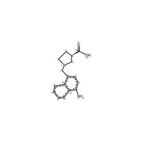 Nc1ccc(CN2CC[C@@H](C(=O)O)C2)c2ccccc12